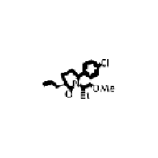 C=CC[C@H]1CCC(c2ccc(Cl)cc2)N(C(CC)COC)C1=O